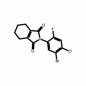 O=C1C2=C(CCCC2)C(=O)N1c1cc(Br)c(Cl)cc1F